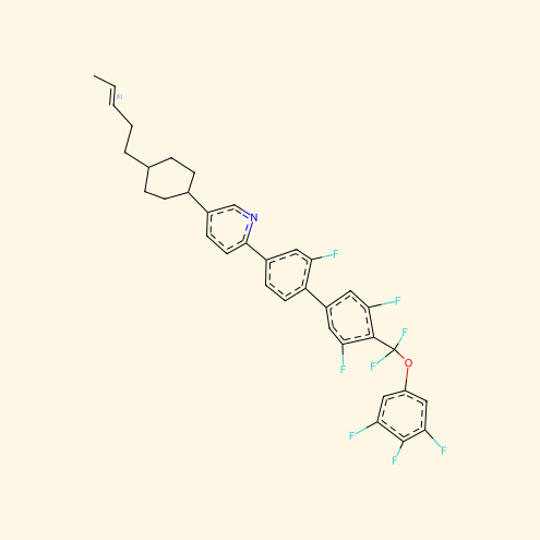 C/C=C/CCC1CCC(c2ccc(-c3ccc(-c4cc(F)c(C(F)(F)Oc5cc(F)c(F)c(F)c5)c(F)c4)c(F)c3)nc2)CC1